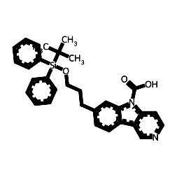 CC(C)(C)[Si](OCCCc1ccc2c3cnccc3n(C(=O)O)c2c1)(c1ccccc1)c1ccccc1